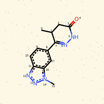 CC1CC(=O)NN=C1c1ccc2nnn(C)c2c1